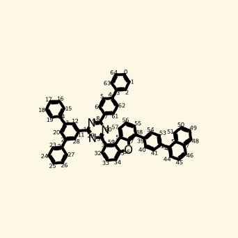 c1ccc(-c2ccc(-c3nc(-c4cc(-c5ccccc5)cc(-c5ccccc5)c4)nc(-c4cccc5oc6c(-c7ccc(-c8cccc9ccccc89)cc7)cccc6c45)n3)cc2)cc1